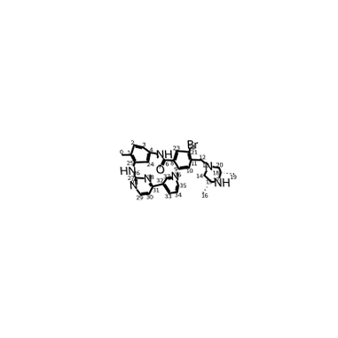 Cc1ccc(NC(=O)c2ccc(CN3C[C@@H](C)N[C@@H](C)C3)c(Br)c2)cc1Nc1nccc(-c2cccnc2)n1